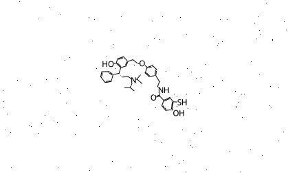 CC(C)N(CC[C@H](c1ccccc1)c1cc(CCOc2ccc(CCNC(=O)c3ccc(O)c(S)c3)cc2)ccc1O)C(C)C